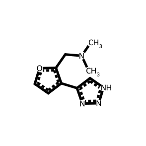 CN(C)Cc1occc1-c1c[nH]nn1